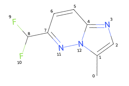 Cc1cnc2ccc(C(F)F)nn12